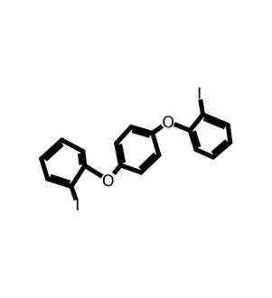 Ic1ccccc1Oc1ccc(Oc2ccccc2I)cc1